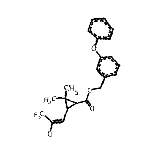 CC1(C)C(/C=C(/Cl)C(F)(F)F)C1C(=O)OCc1cccc(Oc2ccccc2)c1